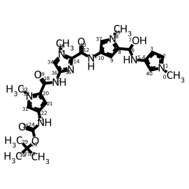 Cn1ccc(NC(O)c2cc(NC(=O)c3nc(NC(=O)c4cc(NC(=O)OC(C)(C)C)cn4C)cn3C)cn2C)c1